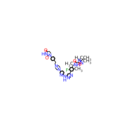 Cc1cc(-c2cc(Nc3ccc(N4CCN(CCc5ccc(N6CCC(=O)NC6=O)cc5)CC4)cn3)ncn2)c(F)cc1C(C)NC(=O)c1nc(C(C)(C)C)no1